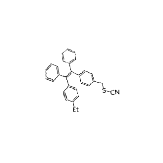 CCc1ccc(C(=C(c2ccccc2)c2ccc(CSC#N)cc2)c2ccccc2)cc1